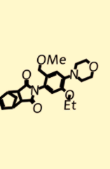 CCOc1cc(N2C(=O)C3C4C=CC(C4)C3C2=O)c(COC)cc1N1CCOCC1